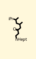 CCCCCCCCCC(=O)CC(C)CC(C)C(C)C